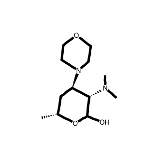 C[C@@H]1C[C@@H](N2CCOCC2)[C@H](N(C)C)C(O)O1